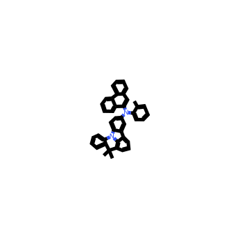 Cc1ccccc1N(c1ccc2c(c1)c1cccc3c1n2-c1ccccc1C3(C)C)c1cc2ccccc2c2ccccc12